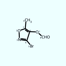 Cc1onc(Br)c1OC=O